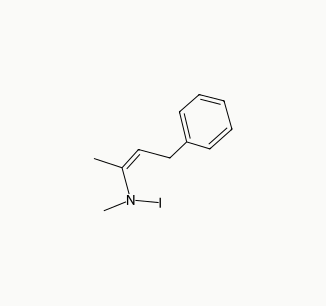 C/C(=C/Cc1ccccc1)N(C)I